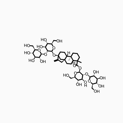 C=C1C[C@]23CC[C@H]4C(C)(C(=O)O[C@@H]5O[C@H](CO)[C@@H](O)[C@H](O)[C@H]5O[C@@H]5O[C@H](CO)[C@@H](O)[C@H](O)[C@H]5O)CCC[C@]4(C)[C@H]2CC[C@]1(O[C@@H]1O[C@H](CO)[C@@H](O)[C@H](O)[C@H]1O[C@@H]1O[C@H](CO)[C@@H](O)[C@H](O)[C@H]1O)C3